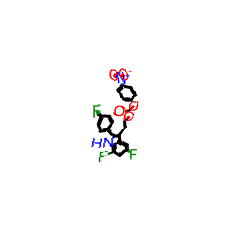 O=C(OCCc1c(-c2ccc(F)cc2)[nH]c2c(F)cc(F)cc12)Oc1ccc([N+](=O)[O-])cc1